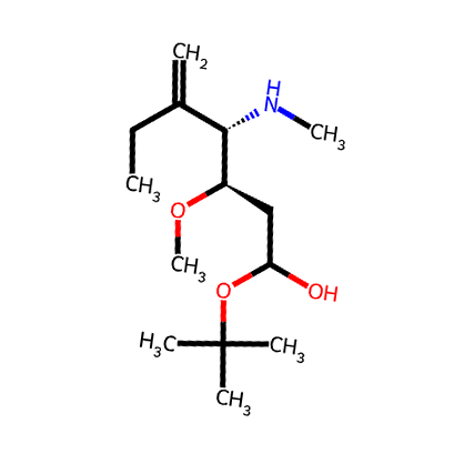 C=C(CC)[C@H](NC)[C@@H](CC(O)OC(C)(C)C)OC